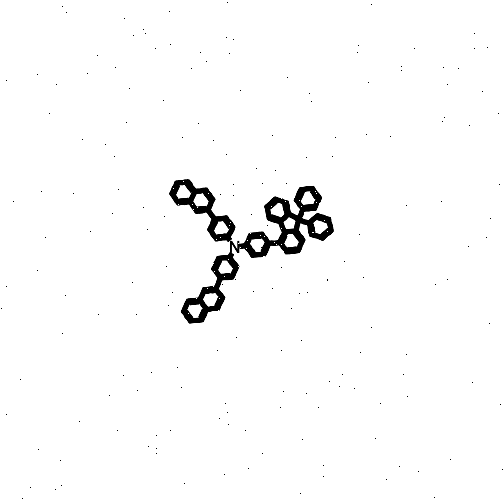 c1ccc(C2(c3ccccc3)c3ccccc3-c3c(-c4ccc(N(c5ccc(-c6ccc7ccccc7c6)cc5)c5ccc(-c6ccc7ccccc7c6)cc5)cc4)cccc32)cc1